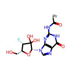 CC(C)C(=O)Nc1nc2c(ncn2[C@@H]2O[C@H](CO)[C@H](F)C2(O)O)c(=O)[nH]1